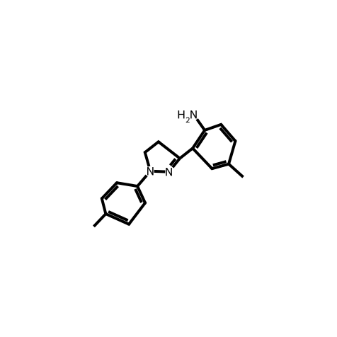 Cc1ccc(N2CCC(c3cc(C)ccc3N)=N2)cc1